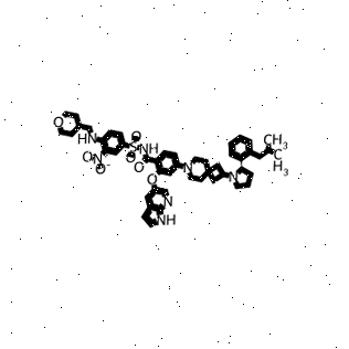 CC(C)Cc1ccccc1[C@@H]1CCCN1C1CC2(CCN(c3ccc(C(=O)NS(=O)(=O)c4ccc(NCC5CCOCC5)c([N+](=O)[O-])c4)c(Oc4cnc5[nH]ccc5c4)c3)CC2)C1